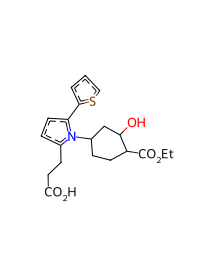 CCOC(=O)C1CCC(n2c(CCC(=O)O)ccc2-c2cccs2)CC1O